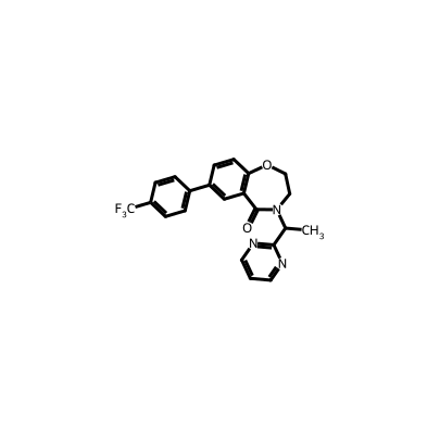 CC(c1ncccn1)N1CCOc2ccc(-c3ccc(C(F)(F)F)cc3)cc2C1=O